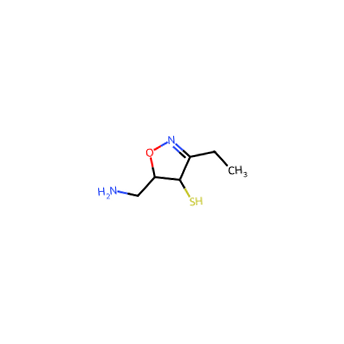 CCC1=NOC(CN)C1S